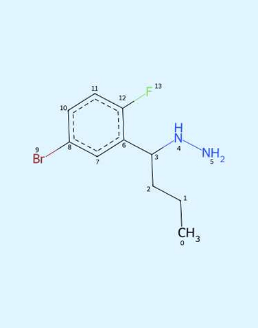 CCCC(NN)c1cc(Br)ccc1F